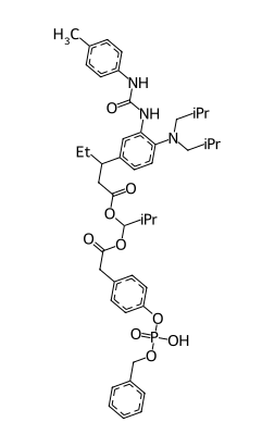 CCC(CC(=O)OC(OC(=O)Cc1ccc(OP(=O)(O)OCc2ccccc2)cc1)C(C)C)c1ccc(N(CC(C)C)CC(C)C)c(NC(=O)Nc2ccc(C)cc2)c1